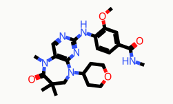 CNC(=O)c1ccc(Nc2ncc3c(n2)N(C2CCOCC2)CC(C)(C)C(=O)N3C)c(OC)c1